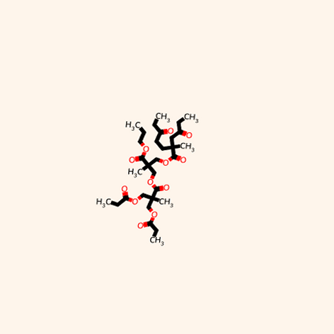 CCCOC(=O)C(C)(COC(=O)C(C)(COC(=O)CC)COC(=O)CC)COC(=O)C(C)(CCC(=O)CC)CC(=O)CC